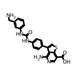 NCc1cccc(NC(=O)Nc2ccc(-c3csc4c(C(=O)O)cnc(N)c34)cc2)c1